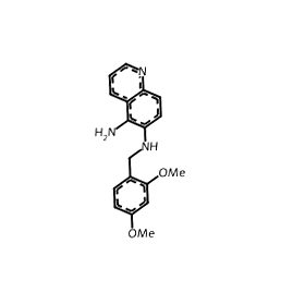 COc1ccc(CNc2ccc3ncccc3c2N)c(OC)c1